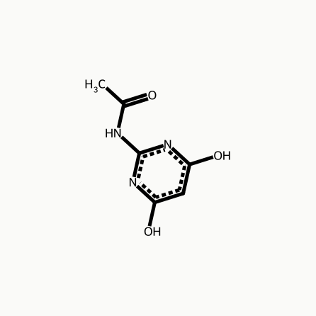 CC(=O)Nc1nc(O)cc(O)n1